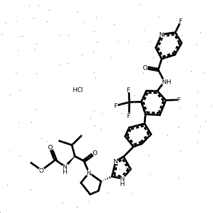 COC(=O)N[C@H](C(=O)N1CCC[C@H]1c1nc(-c2ccc(-c3cc(F)c(NC(=O)c4ccc(F)nc4)cc3C(F)(F)F)cc2)c[nH]1)C(C)C.Cl